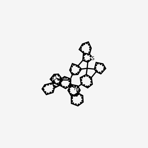 c1ccc(N(c2ccccc2)c2ccc3c(c2)C2(c4ccccc4-c4ccc(N(c5ccccc5)c5ccc6oc7ccccc7c6c5)cc42)c2sc4ccccc4c2-3)cc1